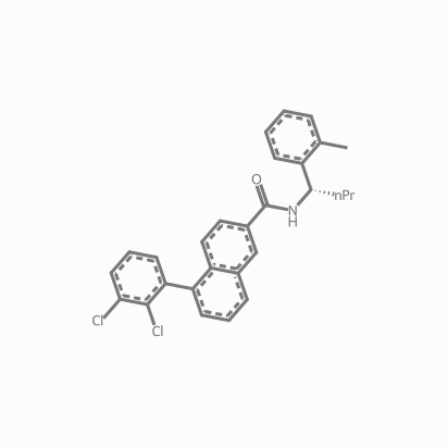 CCC[C@H](NC(=O)c1ccc2c(-c3cccc(Cl)c3Cl)cccc2c1)c1ccccc1C